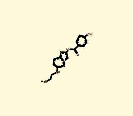 CNCCNc1ccc2nc(NC(=O)c3ccc(C(C)(C)C)cc3)cn2n1